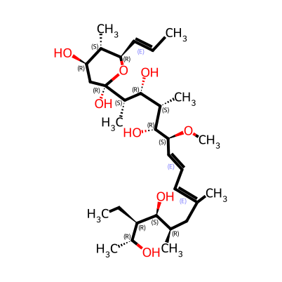 C/C=C/[C@H]1O[C@@](O)([C@@H](C)[C@H](O)[C@H](C)[C@@H](O)[C@H](/C=C/C=C(\C)C[C@@H](C)[C@H](O)[C@H](CC)[C@@H](C)O)OC)C[C@@H](O)[C@@H]1C